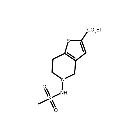 CCOC(=O)c1cc2c(s1)CCN(NS(C)(=O)=O)C2